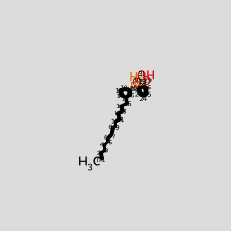 CCCCCCCCCCCCCCCCc1cccc(Pc2ccccc2S(=O)(=O)O)c1